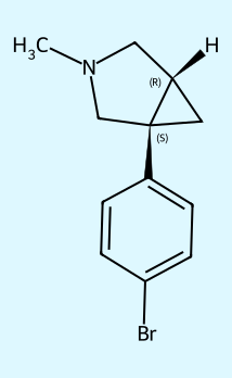 CN1C[C@@H]2C[C@]2(c2ccc(Br)cc2)C1